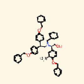 O=[N+]([O-])c1cc([C@H](CO)N(Cc2ccccc2)CC(c2ccc(OCc3ccccc3)cc2)c2ccc(OCc3ccccc3)cc2)ccc1OCc1ccccc1